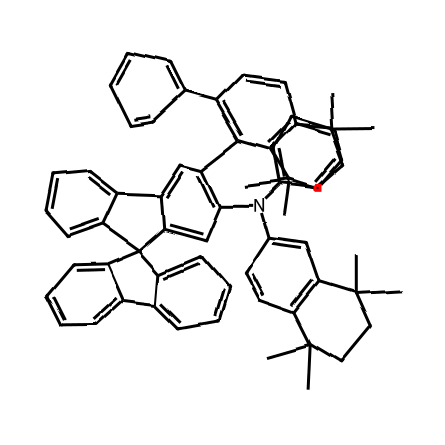 CC1(C)CCC(C)(C)c2cc(N(c3ccccc3)c3cc4c(cc3-c3c(-c5ccccc5)ccc5c3C(C)(C)CCC5(C)C)-c3ccccc3C43c4ccccc4-c4ccccc43)ccc21